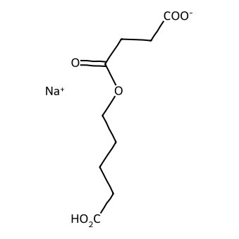 O=C([O-])CCC(=O)OCCCCC(=O)O.[Na+]